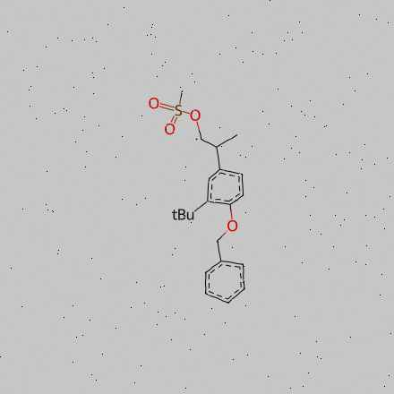 CC([CH]OS(C)(=O)=O)c1ccc(OCc2ccccc2)c(C(C)(C)C)c1